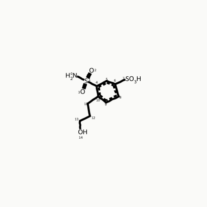 NS(=O)(=O)c1cc(S(=O)(=O)O)ccc1CCCO